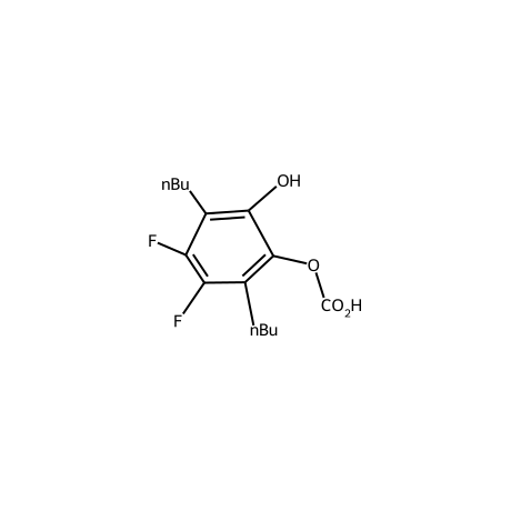 CCCCc1c(O)c(OC(=O)O)c(CCCC)c(F)c1F